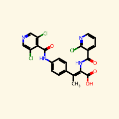 C/C(=C(/NC(=O)c1cccnc1Cl)C(=O)O)c1ccc(NC(=O)c2c(Cl)cncc2Cl)cc1